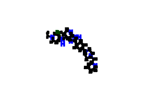 CCN1CCC(Nc2c(Br)cnc3[nH]c(-c4ccc(N5CCN(Cc6ccccn6)CC5)cc4)nc23)CC1